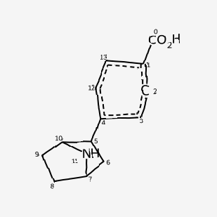 O=C(O)c1ccc(C2CC3CCC2N3)cc1